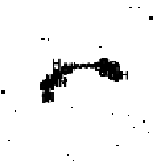 C=C1CCC(N2C(=O)c3cccc(OCCCCCCCCCN4CCC(N5C=C(Nc6ncc7ccc(-c8cnn(C)c8)n7n6)CN5)CC4)c3C2=O)C(=O)N1